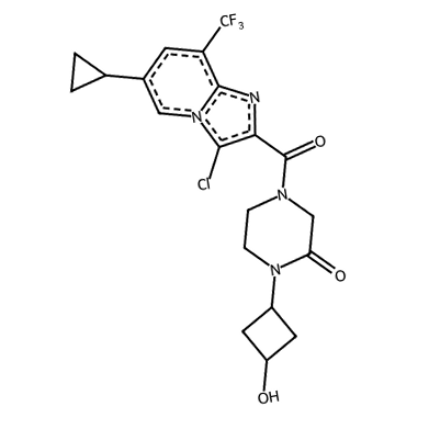 O=C(c1nc2c(C(F)(F)F)cc(C3CC3)cn2c1Cl)N1CCN(C2CC(O)C2)C(=O)C1